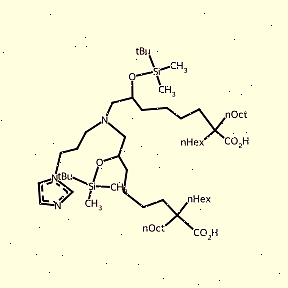 CCCCCCCCC(CCCCCC)(CCCCC(CN(CCCn1ccnc1)CC(CCCCC(CCCCCC)(CCCCCCCC)C(=O)O)O[Si](C)(C)C(C)(C)C)O[Si](C)(C)C(C)(C)C)C(=O)O